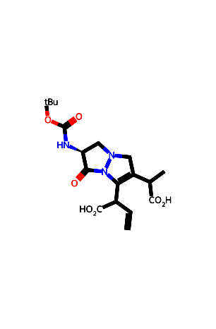 C=CC(C(=O)O)C1=C(C(C)C(=O)O)CN2C[C@H](NC(=O)OC(C)(C)C)C(=O)N12